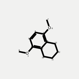 COc1ccc(OC)c2c1[C]CCC2